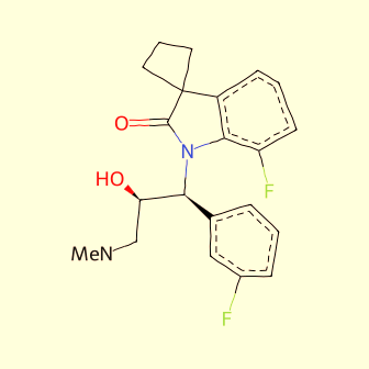 CNC[C@@H](O)[C@H](c1cccc(F)c1)N1C(=O)C2(CCC2)c2cccc(F)c21